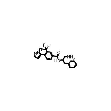 Cn1nccc1-c1ccc(C(=O)NC(CN)Cc2ccccc2)cc1C(F)(F)F